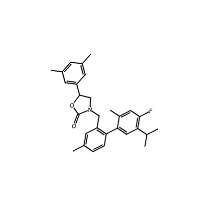 Cc1cc(C)cc(C2CN(Cc3cc(C)ccc3-c3cc(C(C)C)c(F)cc3C)C(=O)O2)c1